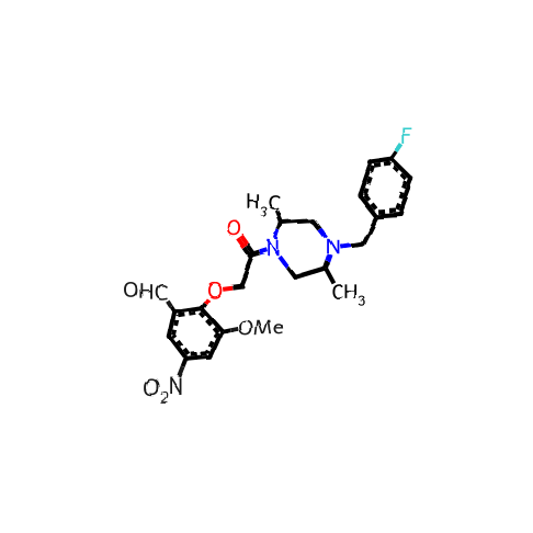 COc1cc([N+](=O)[O-])cc(C=O)c1OCC(=O)N1CC(C)N(Cc2ccc(F)cc2)CC1C